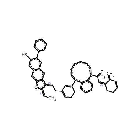 C=C1C=CCC/C1=C/C(=C)c1ccccccc(C2=CC(C/C=c3\c(=C/C)oc4cc5cc(S)c(-c6ccccc6)cc5cc34)=CCC2)c2ccccc12